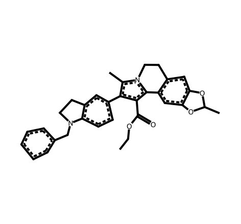 CCOC(=O)c1c(-c2ccc3c(c2)CCN3Cc2ccccc2)c(C)n2c1-c1cc3c(cc1CC2)OC(C)O3